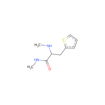 CNC(=O)C(Cc1cccs1)NC